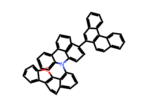 c1ccc(-c2ccccc2N(c2ccc(-c3cc4ccccc4c4c3ccc3ccccc34)cc2)c2cccc3ccc4c5ccccc5oc4c23)cc1